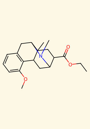 CCOC(=O)C1CC2(C)C3CC1N(C)C2Cc1cccc(OC)c13